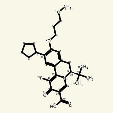 COCCCOc1cc2c(cc1C1CCCC1)-c1c(F)c(=O)c(C(=O)O)cn1[C@H](C(C)(C)C)C2